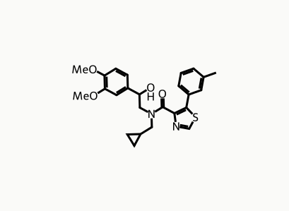 COc1ccc(C(O)CN(CC2CC2)C(=O)c2ncsc2-c2cccc(C)c2)cc1OC